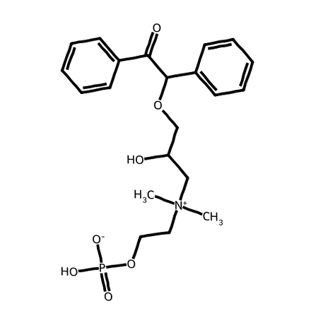 C[N+](C)(CCOP(=O)([O-])O)CC(O)COC(C(=O)c1ccccc1)c1ccccc1